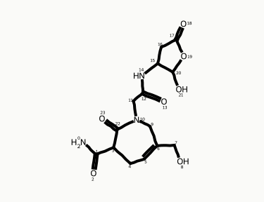 NC(=O)C1CC=C(CO)CN(CC(=O)NC2CC(=O)OC2O)C1=O